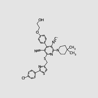 [C-]#[N+]c1c(N2CCC(C)(C)CC2)nc(SCc2csc(-c3ccc(Cl)cc3)n2)c(C#N)c1-c1ccc(OCCO)cc1